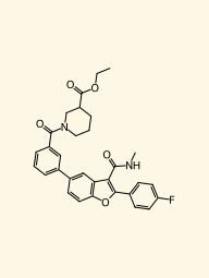 CCOC(=O)C1CCCN(C(=O)c2cccc(-c3ccc4oc(-c5ccc(F)cc5)c(C(=O)NC)c4c3)c2)C1